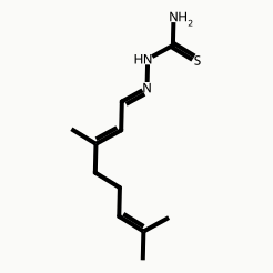 CC(C)=CCCC(C)=CC=NNC(N)=S